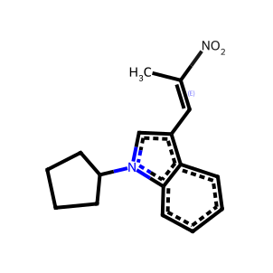 C/C(=C\c1cn(C2CCCC2)c2ccccc12)[N+](=O)[O-]